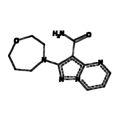 NC(=O)c1c(N2CCCOCC2)nn2cccnc12